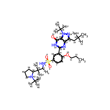 [2H]C(NS(=O)(=O)c1ccc(OCCC)c(-c2nc3c(CC([2H])([2H])C)nn(C([2H])([2H])[2H])c3c(=O)[nH]2)c1)C([2H])([2H])C1CCCN1C([2H])([2H])[2H]